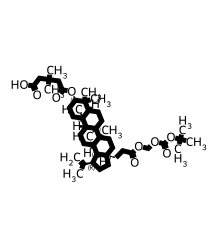 C=C(C)[C@@H]1CC[C@]2(CCC(=O)OCOC(=O)OC(C)(C)C)CC[C@]3(C)[C@H](CC[C@@H]4[C@@]5(C)CC[C@H](OC(=O)CC(C)(C)CC(=O)O)C(C)(C)[C@@H]5CC[C@]43C)[C@@H]12